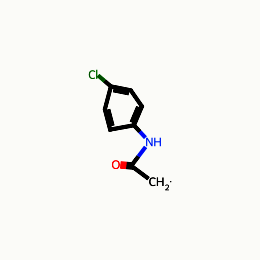 [CH2]C(=O)Nc1ccc(Cl)cc1